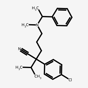 CC(c1ccccc1)N(C)CCCC(C#N)(c1ccc(Cl)cc1)C(C)C